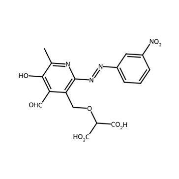 Cc1nc(/N=N/c2cccc([N+](=O)[O-])c2)c(COC(C(=O)O)C(=O)O)c(C=O)c1O